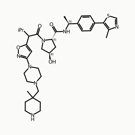 Cc1ncsc1-c1ccc([C@H](C)NC(=O)[C@@H]2C[C@@H](O)CN2C(=O)C(c2cc(N3CCN(CC4(C)CCNCC4)CC3)no2)C(C)C)cc1